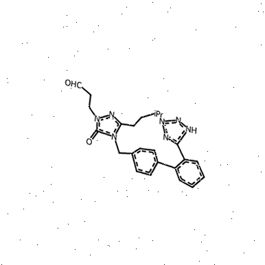 CC(C)CCc1nn(CCC=O)c(=O)n1Cc1ccc(-c2ccccc2-c2nnn[nH]2)cc1